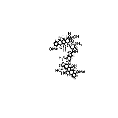 COc1cccc2c1C(=O)c1c(O)c3c(c(O)c1C2=O)C[C@@](O)(C(=O)CO)C[C@@H]3OC1CC(NC(=O)NC2CC(O[C@H]3C[C@](O)(C(=O)CO)Cc4c(O)c5c(c(O)c43)C(=O)c3c(OC)cccc3C5=O)OC(C)C2O)C(O)C(C)O1